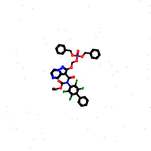 CC(C)(C)OC(=O)N(C(=O)c1c(OCOP(=O)(OCc2ccccc2)OCc2ccccc2)nn2ccncc12)c1c(F)c(F)c(-c2ccccc2)c(F)c1F